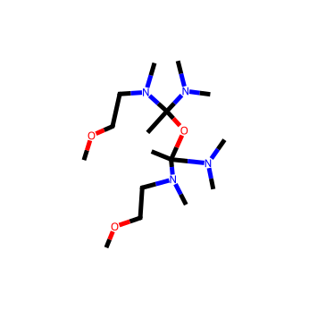 COCCN(C)C(C)(OC(C)(N(C)C)N(C)CCOC)N(C)C